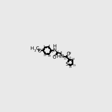 COc1ccc(NC(=O)CNC(=O)c2cccs2)cc1